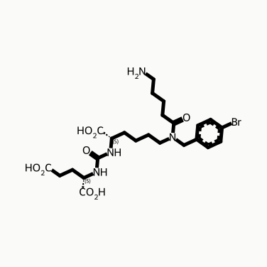 NCCCCC(=O)N(CCCC[C@H](NC(=O)N[C@@H](CCC(=O)O)C(=O)O)C(=O)O)Cc1ccc(Br)cc1